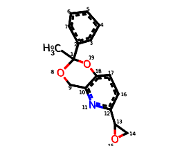 CC1(c2ccccc2)OCc2nc(C3CO3)ccc2O1